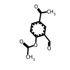 CC(=O)Oc1ccc(C(C)=O)cc1C=O